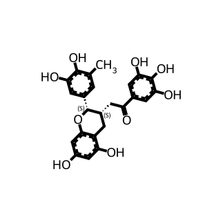 Cc1cc([C@H]2Oc3cc(O)cc(O)c3C[C@H]2CC(=O)c2cc(O)c(O)c(O)c2)cc(O)c1O